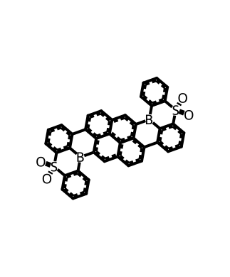 O=S1(=O)c2ccccc2B2c3c(cccc31)-c1ccc3cc4c5c(ccc6cc2c1c3c65)-c1cccc2c1B4c1ccccc1S2(=O)=O